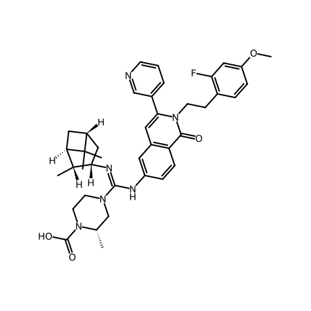 COc1ccc(CCn2c(-c3cccnc3)cc3cc(NC(=N[C@H]4C[C@H]5C[C@H]([C@H]4C)C5(C)C)N4CCN(C(=O)O)[C@@H](C)C4)ccc3c2=O)c(F)c1